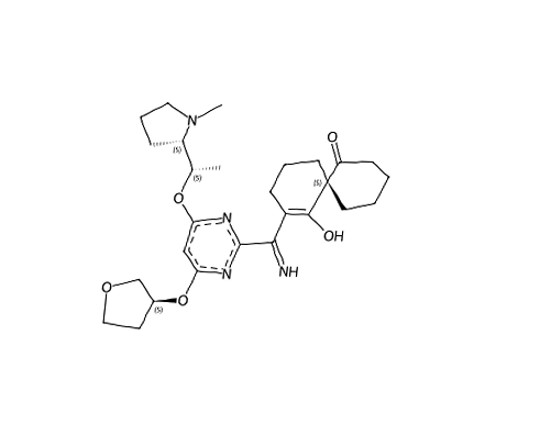 C[C@H](Oc1cc(O[C@H]2CCOC2)nc(C(=N)C2=C(O)[C@]3(CCCCC3=O)CCC2)n1)[C@@H]1CCCN1C